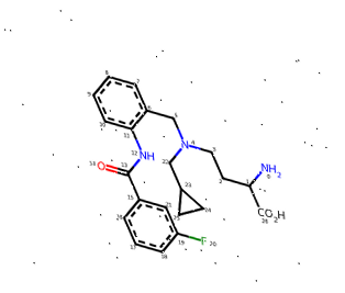 NC(CCN(Cc1ccccc1NC(=O)c1cccc(F)c1)CC1CC1)C(=O)O